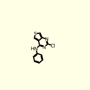 Clc1nc(Nc2ccccc2)c2cscc2n1